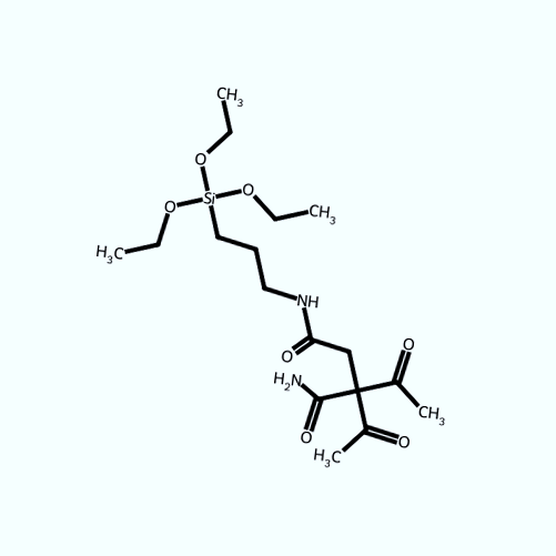 CCO[Si](CCCNC(=O)CC(C(C)=O)(C(C)=O)C(N)=O)(OCC)OCC